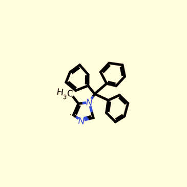 Cc1[c]ncn1C(c1ccccc1)(c1ccccc1)c1ccccc1